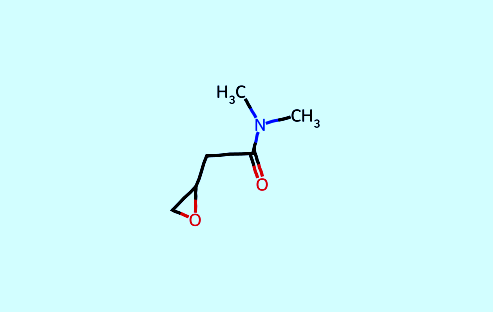 CN(C)C(=O)CC1CO1